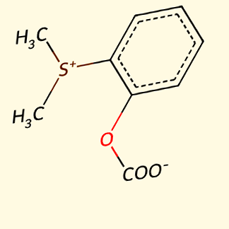 C[S+](C)c1ccccc1OC(=O)[O-]